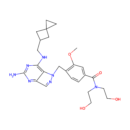 COc1cc(C(=O)N(CCO)CCO)ccc1Cn1ncc2nc(N)nc(NCC3CC4(CC4)C3)c21